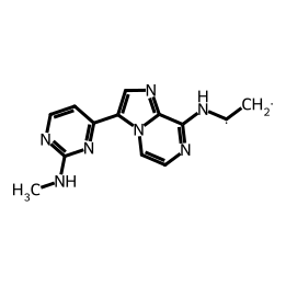 [CH2][CH]Nc1nccn2c(-c3ccnc(NC)n3)cnc12